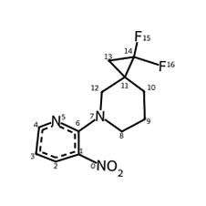 O=[N+]([O-])c1cccnc1N1CCCC2(C1)CC2(F)F